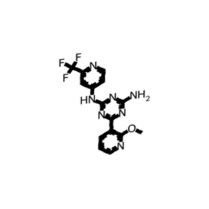 COc1ncccc1-c1nc(N)nc(Nc2ccnc(C(F)(F)F)c2)n1